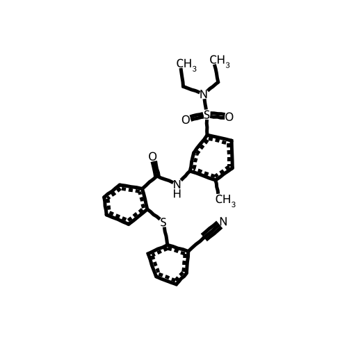 CCN(CC)S(=O)(=O)c1ccc(C)c(NC(=O)c2ccccc2Sc2ccccc2C#N)c1